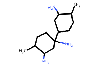 CC1CCC(C2(N)CCC(C)C(N)C2)CC1N